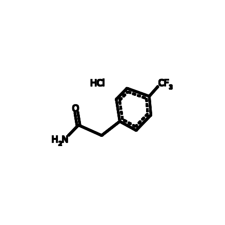 Cl.NC(=O)Cc1ccc(C(F)(F)F)cc1